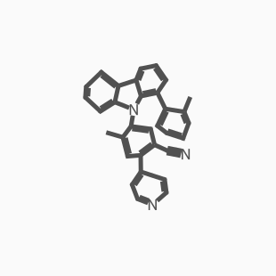 Cc1ccccc1-c1cccc2c3ccccc3n(-c3cc(C#N)c(-c4ccncc4)cc3C)c12